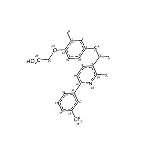 Cc1cc(SC(C)c2ccc(-c3cccc(C(F)(F)F)c3)nc2C)ccc1OCC(=O)O